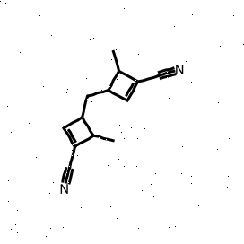 CC1C(C#N)=CC1CC1C=C(C#N)C1C